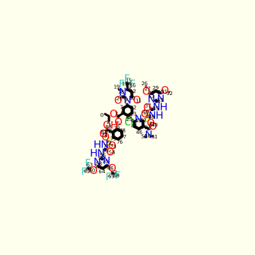 CC(C)OC(=O)c1cc(-n2c(=O)cc(C(F)(F)F)n(C)c2=O)ccc1Cl.COc1cc(OC)nc(NC(=O)NS(=O)(=O)c2ncccc2C(=O)N(C)C)n1.O=C(Nc1nc(OC(F)F)cc(OC(F)F)n1)NS(=O)(=O)c1ccccc1C(=O)O